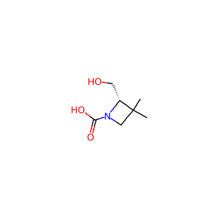 CC1(C)CN(C(=O)O)[C@@H]1CO